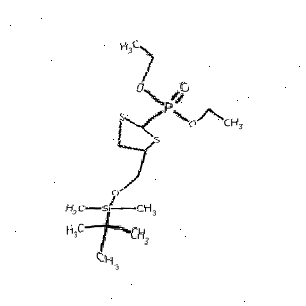 CCOP(=O)(OCC)C1SCC(CO[Si](C)(C)C(C)(C)C)S1